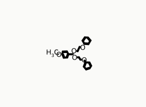 COc1ccc(C(OCCOc2ccccc2)OCCOc2ccccc2)cc1